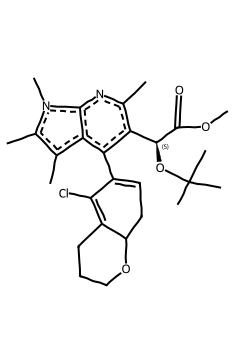 COC(=O)[C@@H](OC(C)(C)C)c1c(C)nc2c(c(C)c(C)n2C)c1C1=CCC2OCCCC2=C1Cl